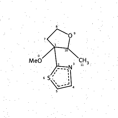 COC1(c2nccs2)CCOC1C